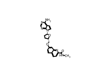 CNC(=O)c1ccc2ccc(OC[C@@H]3CC[C@H](n4ccc5c(N)ncnc54)O3)cc2n1